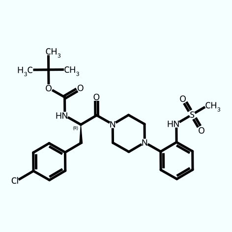 CC(C)(C)OC(=O)N[C@H](Cc1ccc(Cl)cc1)C(=O)N1CCN(c2ccccc2NS(C)(=O)=O)CC1